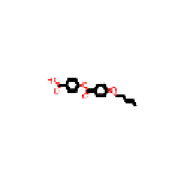 CCCCCOc1ccc(C(=O)Oc2ccc(C(=O)O)cc2)cc1